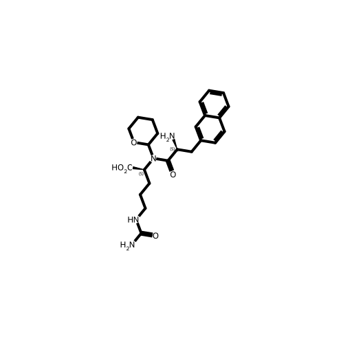 NC(=O)NCCC[C@@H](C(=O)O)N(C(=O)[C@@H](N)Cc1ccc2ccccc2c1)C1CCCCO1